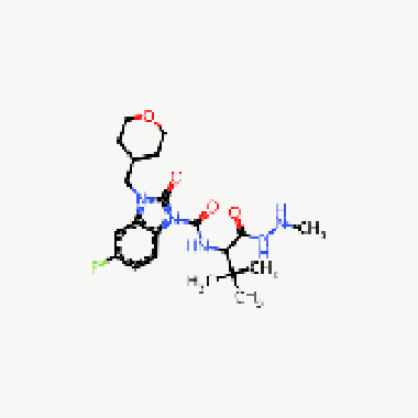 CNNC(=O)C(NC(=O)n1c(=O)n(CC2CCOCC2)c2cc(F)ccc21)C(C)(C)C